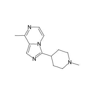 Cc1nccn2c(C3CCN(C)CC3)ncc12